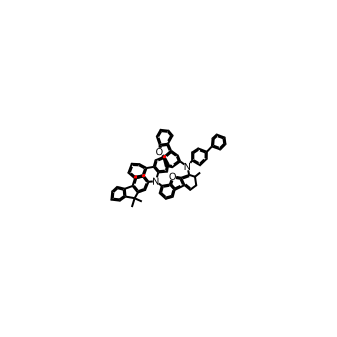 CC1CC=c2c(oc3c(N(c4ccc5c(c4)C(C)(C)c4ccccc4-5)c4ccccc4-c4ccccc4)cccc23)=C1N(c1ccc(-c2ccccc2)cc1)c1ccc2oc3ccccc3c2c1